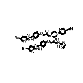 N#Cc1ccc(N2CCN(CC(O)COc3ccc(-c4nc5cc(Br)cnc5[nH]4)cc3)CC2)nc1.OC(CNc1nccs1)COc1ccc(-c2nc3cc(Br)cnc3[nH]2)cc1